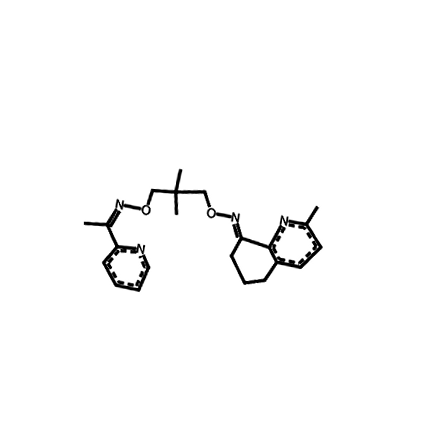 C/C(=N/OCC(C)(C)CO/N=C1\CCCc2ccc(C)nc21)c1ccccn1